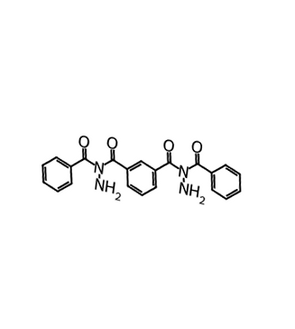 NN(C(=O)c1ccccc1)C(=O)c1cccc(C(=O)N(N)C(=O)c2ccccc2)c1